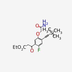 CCOC(=O)CC(=O)c1cc(OCC(N)=O)c(C#C[Si](C)(C)C)cc1F